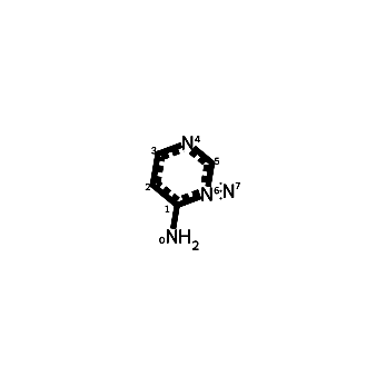 Nc1ccncn1.[N]